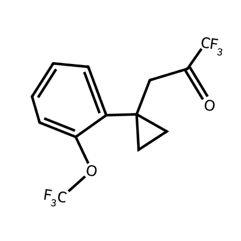 O=C(CC1(c2ccccc2OC(F)(F)F)CC1)C(F)(F)F